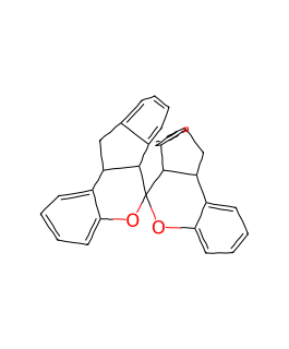 c1ccc2c(c1)CC1c3ccccc3OC3(Oc4ccccc4C4Cc5ccccc5C43)C21